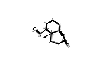 C[C@]12CCC(=O)C=C1CCC[C@@H]2C=O